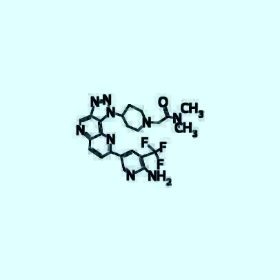 CN(C)C(=O)CN1CCC(n2nnc3cnc4ccc(-c5cnc(N)c(C(F)(F)F)c5)nc4c32)CC1